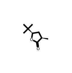 C[C@@H]1C[C@H](C(C)(C)C)OC1=O